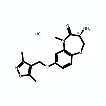 Cc1noc(C)c1COc1ccc2c(c1)N(C)C(=O)[C@@H](N)CO2.Cl